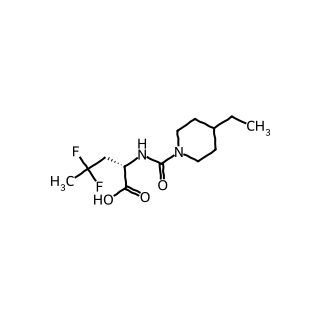 CCC1CCN(C(=O)N[C@@H](CC(C)(F)F)C(=O)O)CC1